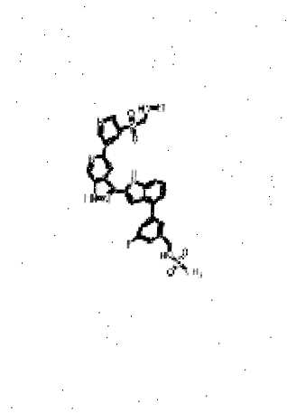 CCNCS(=O)(=O)c1cncc(-c2cc3c(-c4cc5c(-c6cc(F)cc(CNS(C)(=O)=O)c6)cccc5[nH]4)n[nH]c3cn2)c1